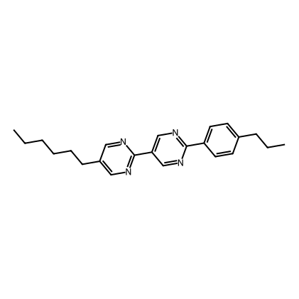 CCCCCCc1cnc(-c2cnc(-c3ccc(CCC)cc3)nc2)nc1